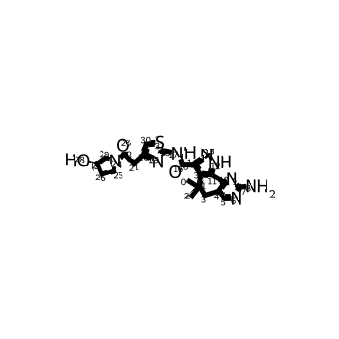 CC1(C)Cc2cnc(N)nc2-c2[nH]nc(C(=O)Nc3nc(CC(=O)N4CC[C@H](O)C4)cs3)c21